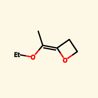 CCOC(C)=C1CCO1